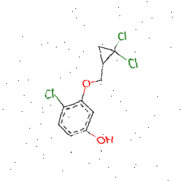 Oc1ccc(Cl)c(OCC2CC2(Cl)Cl)c1